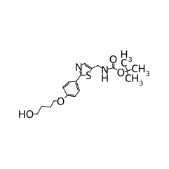 CC(C)(C)OC(=O)NCc1cnc(-c2ccc(OCCCCO)cc2)s1